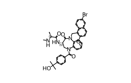 CN[C@@H](C)C(=O)N[C@H]1CN(C(=O)c2ccc(C(C)(C)O)cc2)c2ccccc2N(Cc2c(OC)ccc3cc(Br)ccc23)C1=O